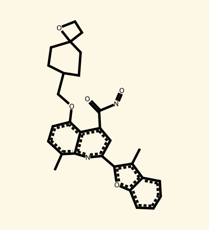 Cc1c(-c2cc(C(=O)N=O)c3c(OCC4CCC5(CCO5)CC4)ccc(C)c3n2)oc2ccccc12